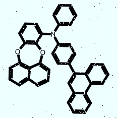 c1ccc(N(c2ccc(-c3cc4ccccc4c4ccccc34)cc2)c2cccc3c2Oc2cccc4cccc(c24)O3)cc1